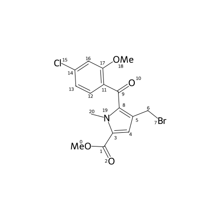 COC(=O)c1cc(CBr)c(C(=O)c2ccc(Cl)cc2OC)n1C